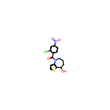 O=C(c1ccc([N+](=O)[O-])cc1Cl)N1CCCC(O)c2sccc21